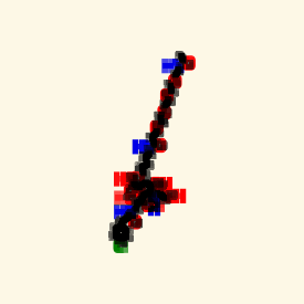 CC(=O)NCCOCCOCCOCCOCCC(=O)NCCCCCO[C@]1(C(=O)O)C[C@H](O)[C@@H](NC(=O)CO)[C@H]([C@H](O)[C@H](O)CNC(=O)Cc2ccc(Cl)cc2)O1